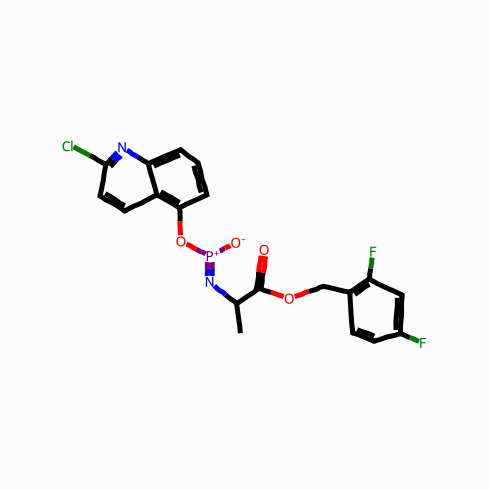 CC(/N=[P+](\[O-])Oc1cccc2nc(Cl)ccc12)C(=O)OCc1ccc(F)cc1F